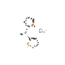 C=C(c1cccs1)c1cccs1.[Cu]